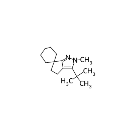 Cn1nc2c(c1C(C)(C)C)CCC21CCCCC1